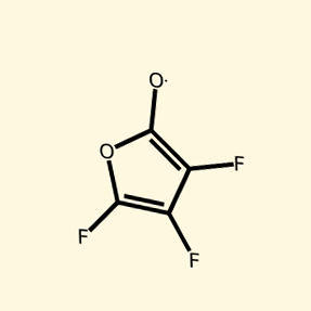 [O]c1oc(F)c(F)c1F